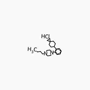 CCCCN1CCN(c2ccccc2C2CCC3(CC2)CC3)CC1.Cl